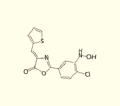 O=C1OC(c2ccc(Cl)c(NO)c2)=N/C1=C\c1cccs1